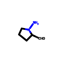 NN1CCCC1C=O